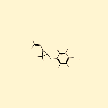 Cc1c(F)c(F)c(C[C@]2(C(=O)O)C(C=C(Cl)C(F)(F)F)C2(C)C)c(F)c1F